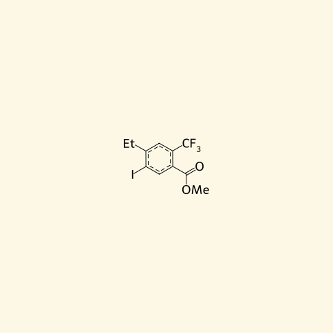 CCc1cc(C(F)(F)F)c(C(=O)OC)cc1I